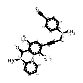 Cc1cc(C(=O)N(C)c2ccccn2)c(C)cc1C#CCN(C)c1ccc(C#N)cc1